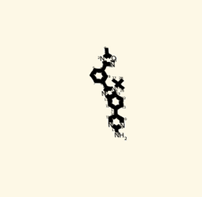 Cc1nc(-c2cccc(-c3nc4cc(-c5cnc(N)nc5)ccc4n3C(C)(C)C)c2)no1